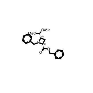 COC(OC)[C@@H]1C[C@H](C(=O)OCc2ccccc2)N1Cc1ccccc1